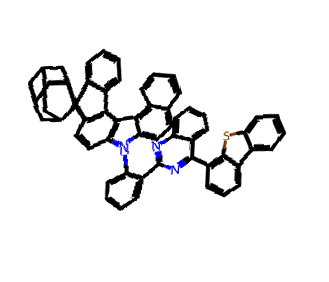 c1ccc(-n2c3ccc4c(c3c3c5ccccc5ccc32)-c2ccccc2C42C3CC4CC(C3)CC2C4)c(-c2nc(-c3cccc4c3sc3ccccc34)c3ccccc3n2)c1